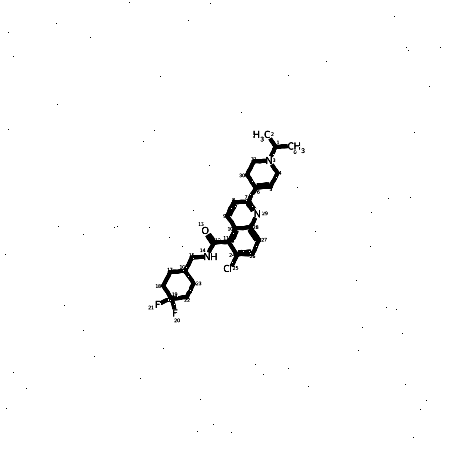 CC(C)N1CC=C(c2ccc3c(C(=O)NCC4CCC(F)(F)CC4)c(Cl)ccc3n2)CC1